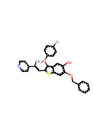 O=C(O)C(=Cc1sc2cc(OCc3ccccc3)c(O)cc2c1Oc1ccc(Cl)cc1)c1ccncc1